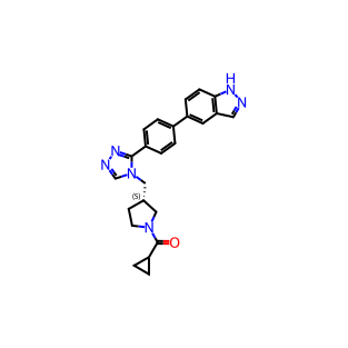 O=C(C1CC1)N1CC[C@H](Cn2cnnc2-c2ccc(-c3ccc4[nH]ncc4c3)cc2)C1